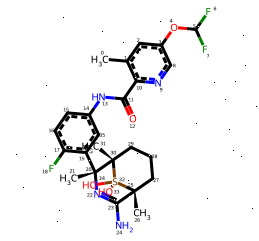 Cc1cc(OC(F)F)cnc1C(=O)Nc1ccc(F)c([C@@]2(C)N=C(N)[C@@]3(C)CCC[C@]2(C)S3(O)O)c1